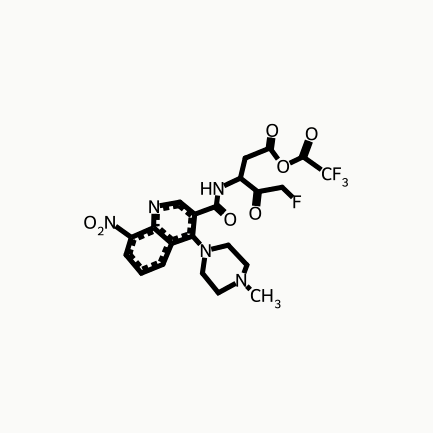 CN1CCN(c2c(C(=O)NC(CC(=O)OC(=O)C(F)(F)F)C(=O)CF)cnc3c([N+](=O)[O-])cccc23)CC1